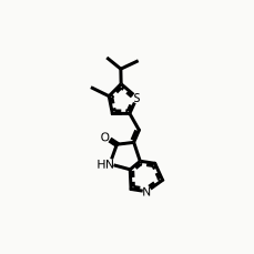 Cc1cc(C=C2C(=O)Nc3cnccc32)sc1C(C)C